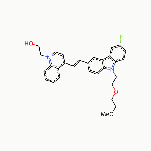 COCCOCCn1c2ccc(F)cc2c2cc(/C=C/c3cc[n+](CCO)c4ccccc34)ccc21